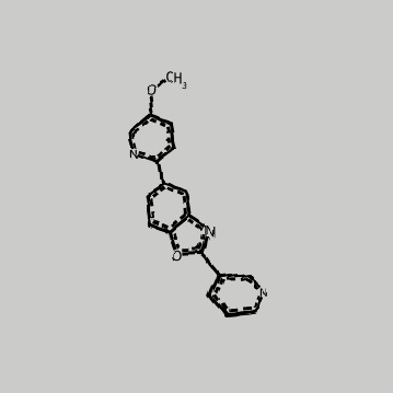 COc1ccc(-c2ccc3oc(-c4cccnc4)nc3c2)nc1